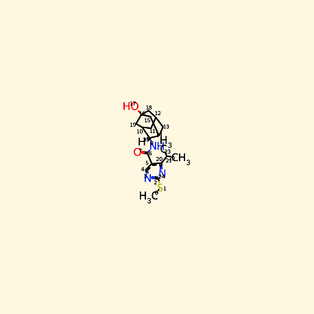 CSc1ncc(C(=O)N[C@H]2C3CC4CC2C[C@@](O)(C4)C3)c(C(C)C)n1